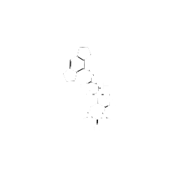 CN1CC(S(=O)(=O)NC(=O)Nc2c3c(cc4c2CCC4)CCC3)C(=O)N(C)C1=O